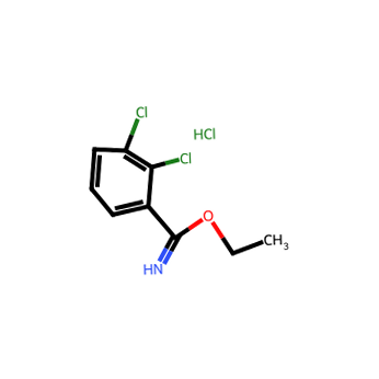 CCOC(=N)c1cccc(Cl)c1Cl.Cl